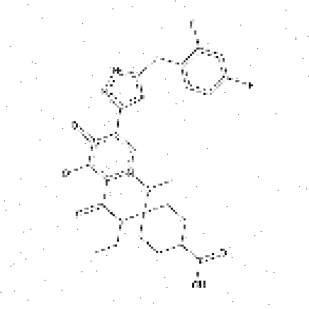 CCN1C(=O)c2c(O)c(=O)c(-c3nnc(Cc4ccc(F)cc4F)s3)cn2N(C)C12CCC(C(=O)O)CC2